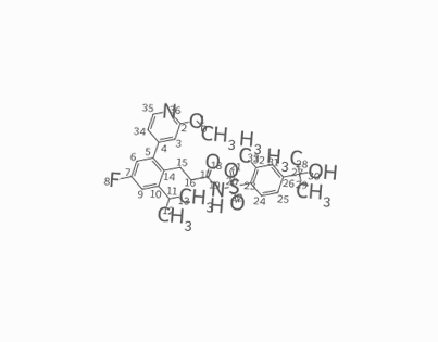 COc1cc(-c2cc(F)cc(C(C)C)c2CCC(=O)NS(=O)(=O)c2ccc(C(C)(C)O)cc2C)ccn1